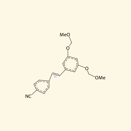 COCOc1cc(/C=C/c2ccc(C#N)cc2)cc(OCOC)c1